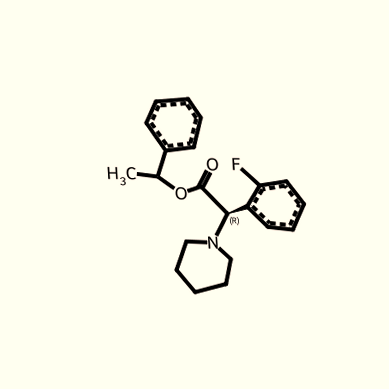 CC(OC(=O)[C@@H](c1ccccc1F)N1CCCCC1)c1ccccc1